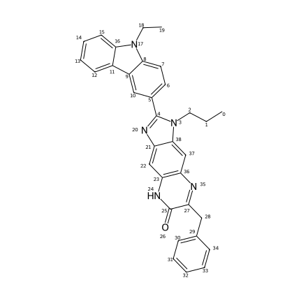 CCCn1c(-c2ccc3c(c2)c2ccccc2n3CC)nc2cc3[nH]c(=O)c(Cc4ccccc4)nc3cc21